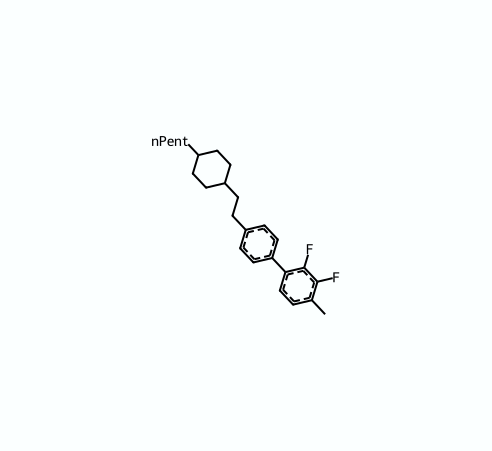 CCCCCC1CCC(CCc2ccc(-c3ccc(C)c(F)c3F)cc2)CC1